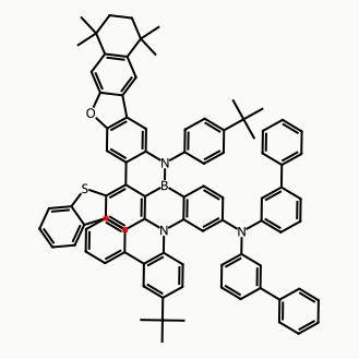 CC(C)(C)c1ccc(N2B3c4ccc(N(c5cccc(-c6ccccc6)c5)c5cccc(-c6ccccc6)c5)cc4N(c4ccc(C(C)(C)C)cc4-c4ccccc4)c4cc5c(sc6ccccc65)c(c43)-c3cc4oc5cc6c(cc5c4cc32)C(C)(C)CCC6(C)C)cc1